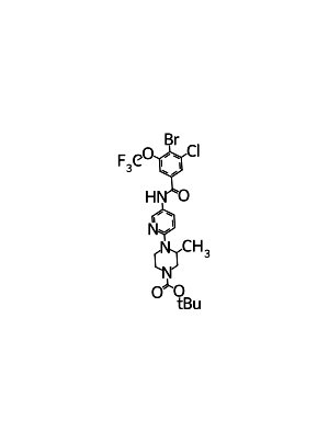 CC1CN(C(=O)OC(C)(C)C)CCN1c1ccc(NC(=O)c2cc(Cl)c(Br)c(OC(F)(F)F)c2)cn1